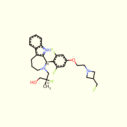 C[C@@](F)(CO)CN1CCCc2c([nH]c3ccccc23)[C@H]1c1c(F)cc(OCCN2CC(CF)C2)cc1F